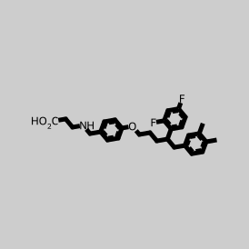 Cc1ccc(CC(CCCOc2ccc(CNCCC(=O)O)cc2)c2ccc(F)cc2F)cc1C